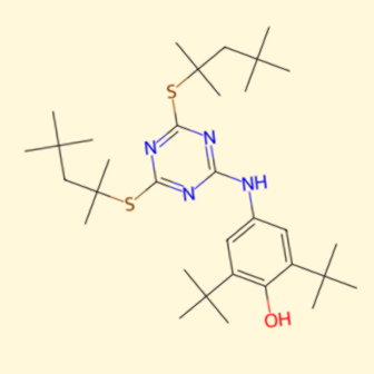 CC(C)(C)CC(C)(C)Sc1nc(Nc2cc(C(C)(C)C)c(O)c(C(C)(C)C)c2)nc(SC(C)(C)CC(C)(C)C)n1